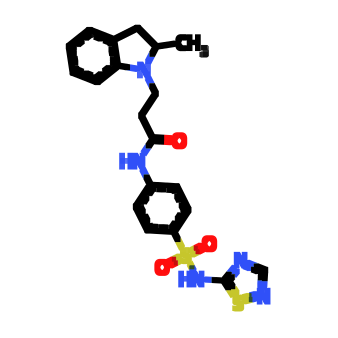 CC1Cc2ccccc2N1CCC(=O)Nc1ccc(S(=O)(=O)Nc2ncns2)cc1